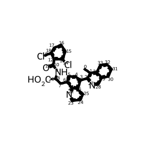 Cc1c(-c2ccc(C[C@H](NC(=O)c3c(Cl)cccc3Cl)C(=O)O)c3ncccc23)ncc2ccccc12